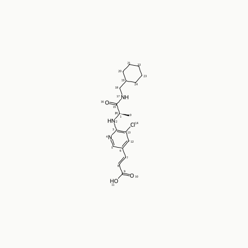 C[C@@H](Nc1ncc(C=CC(=O)O)cc1Cl)C(=O)NCC1CCCCC1